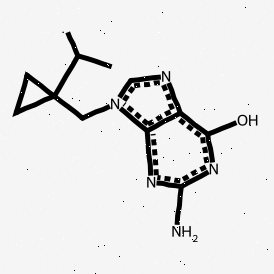 [CH2]C(C)C1(Cn2cnc3c(O)nc(N)nc32)CC1